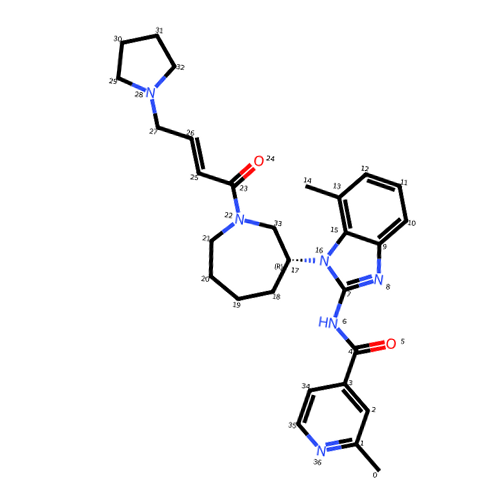 Cc1cc(C(=O)Nc2nc3cccc(C)c3n2[C@@H]2CCCCN(C(=O)C=CCN3CCCC3)C2)ccn1